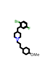 COC1CCC(CCCN2CCC(Cc3cc(F)ccc3Br)CC2)CC1